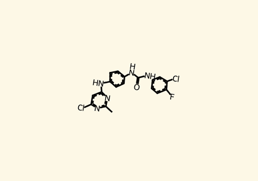 Cc1nc(Cl)cc(Nc2ccc(NC(=O)Nc3ccc(F)c(Cl)c3)cc2)n1